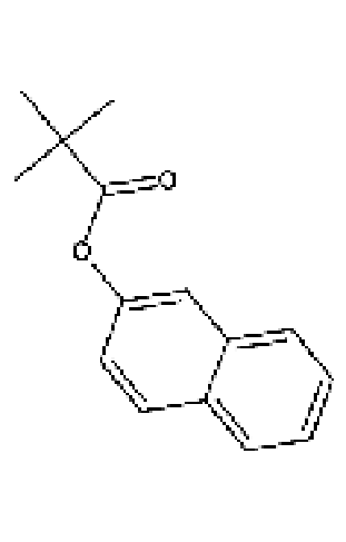 CC(C)(C)C(=O)Oc1ccc2ccccc2c1